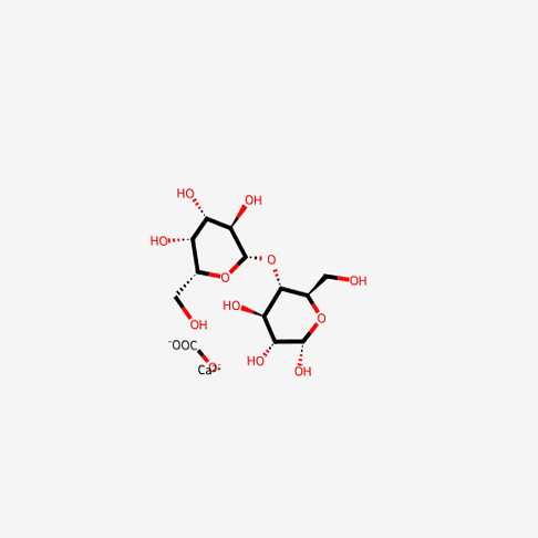 O=C([O-])[O-].OC[C@H]1O[C@@H](O[C@H]2[C@H](O)[C@@H](O)[C@@H](O)O[C@@H]2CO)[C@H](O)[C@@H](O)[C@H]1O.[Ca+2]